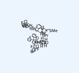 CCCN1C[C@H](CSC)C[C@@H]2c3cccc4[nH]cc(c34)C[C@H]21.CS(=O)(=O)O.C[N+]1(C)[C@@H]2C[C@@H](OC(=O)C(O)(c3cccs3)c3cccs3)C[C@H]1[C@@H]1O[C@@H]12.FC(Cl)(Cl)Cl.FC(F)(Cl)C(F)(F)Cl.FC(F)(Cl)Cl.[Br-]